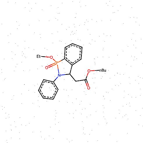 CCCCOC(=O)CC1c2ccccc2P(=O)(OCC)N1c1ccccc1